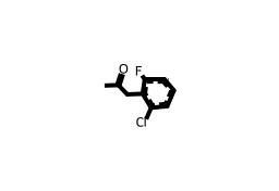 CC(=O)Cc1c(F)[c]ccc1Cl